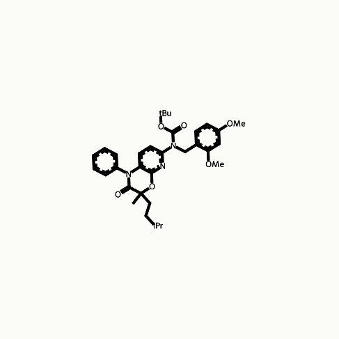 COc1ccc(CN(C(=O)OC(C)(C)C)c2ccc3c(n2)OC(C)(CCC(C)C)C(=O)N3c2ccccc2)c(OC)c1